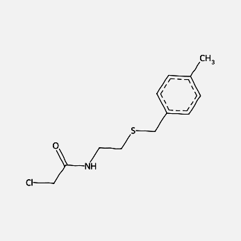 Cc1ccc(CSCCNC(=O)CCl)cc1